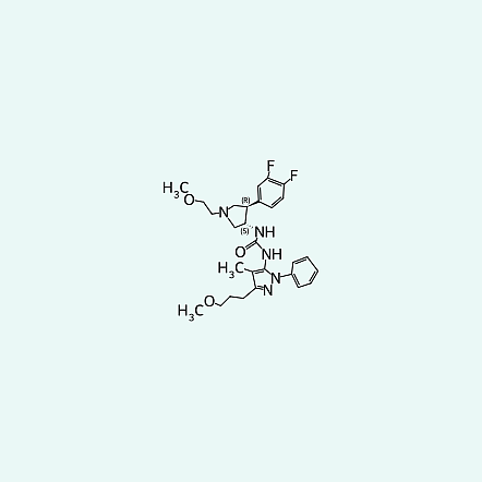 COCCCc1nn(-c2ccccc2)c(NC(=O)N[C@@H]2CN(CCOC)C[C@H]2c2ccc(F)c(F)c2)c1C